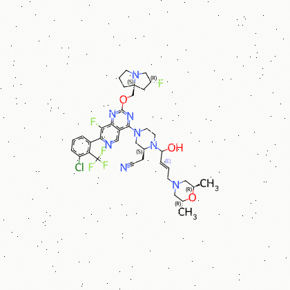 C[C@@H]1CN(C/C=C/C(O)N2CCN(c3nc(OC[C@@]45CCCN4C[C@H](F)C5)nc4c(F)c(-c5cccc(Cl)c5C(F)(F)F)ncc34)C[C@@H]2CC#N)C[C@@H](C)O1